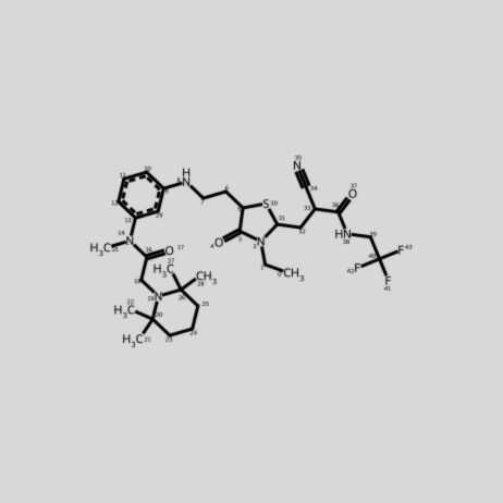 CCN1C(=O)C(CCNc2cccc(N(C)C(=O)CN3C(C)(C)CCCC3(C)C)c2)SC1CC(C#N)C(=O)NCC(F)(F)F